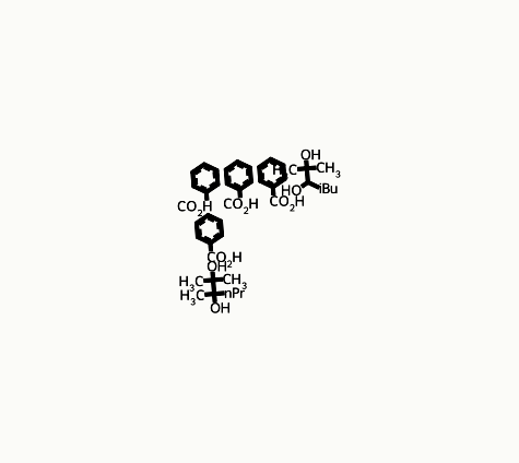 CCC(C)C(O)C(C)(C)O.CCCC(C)(O)C(C)(C)O.O=C(O)c1ccccc1.O=C(O)c1ccccc1.O=C(O)c1ccccc1.O=C(O)c1ccccc1